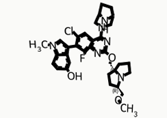 COC[C@H]1CC[C@@]2(COc3nc(N4CC5CCC(C4)N5)c4cc(Cl)c(-c5cn(C)c6ccc(O)cc56)c(F)c4n3)CCCN12